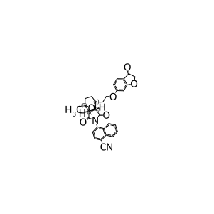 C[C@]12CC[C@](CCOc3ccc4c(c3)OCC4=O)(O1)[C@@H]1C(=O)N(c3ccc(C#N)c4ccccc34)C(=O)[C@@H]12